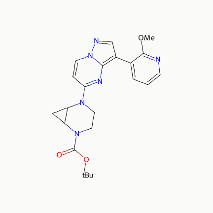 COc1ncccc1-c1cnn2ccc(N3CCN(C(=O)OC(C)(C)C)C4CC43)nc12